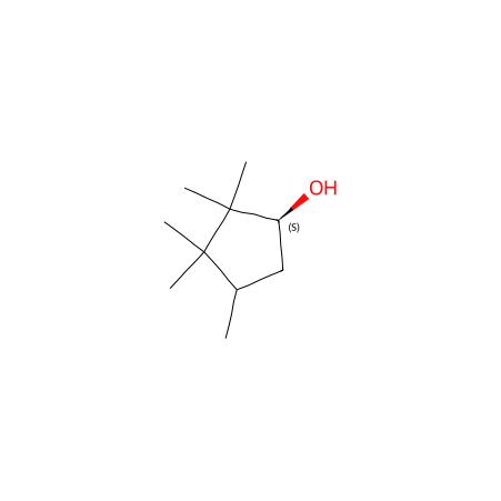 CC1C[C@H](O)C(C)(C)C1(C)C